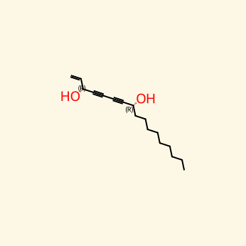 C=C[C@@H](O)C#CC#C[C@H](O)CCCCCCCCC